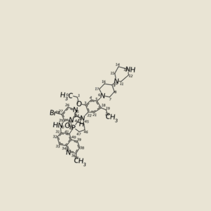 CCOc1cc(N2CCC(N3CCNCC3)CC2)c(CC)cc1Nc1ncc(Br)c(Nc2ccc3nc(C)ccc3c2P2(=O)CCCC2)n1